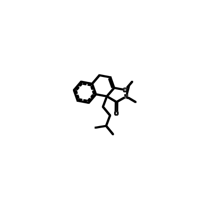 COC1=CCc2ccccc2C1(CCC(C)C)C(=O)N(C)C